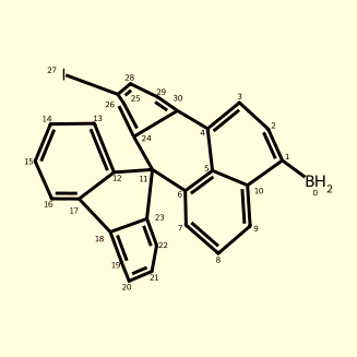 Bc1ccc2c3c(cccc13)C1(c3ccccc3-c3ccccc31)c1cc(I)ccc1-2